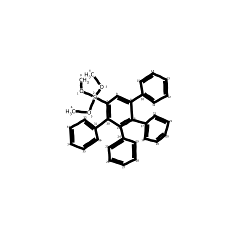 CO[Si](OC)(OC)c1cc(-c2ccccc2)c(-c2ccccc2)c(-c2ccccc2)c1-c1ccccc1